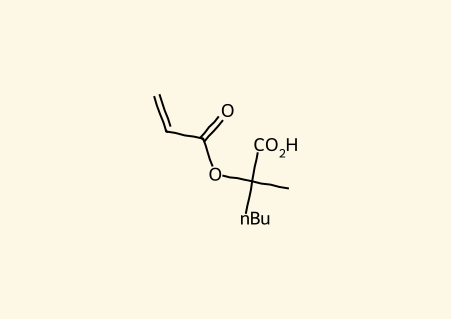 C=CC(=O)OC(C)(CCCC)C(=O)O